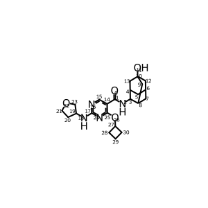 O=C(NC1C2CC3CC1CC(O)(C3)C2)c1cnc(NC2CCOC2)nc1OC1CCC1